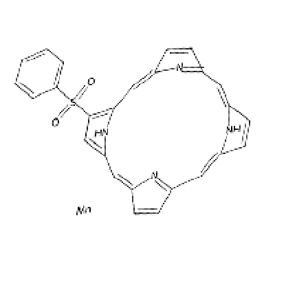 O=S(=O)(c1ccccc1)c1cc2cc3nc(cc4ccc(cc5nc(cc1[nH]2)C=C5)[nH]4)C=C3.[Mn]